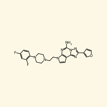 Nc1nc2c(ccn2CCN2CCN(c3ccc(F)cc3F)CC2)c2nc(-c3ccoc3)nn12